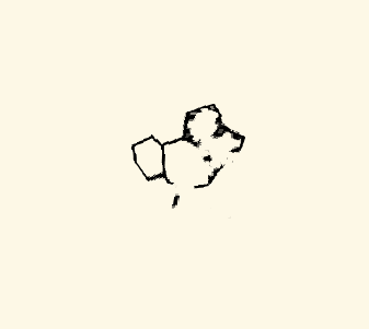 C.[O-][S+]1c2ncc3ccc(n3n2)C2CCCCC21